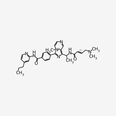 CCCc1ccnc(NC(=O)c2ccc(C3=NC(C(C)NC(=O)/C=C/CN(C)C)=C4C=NC=C[N+]34C)cc2)c1